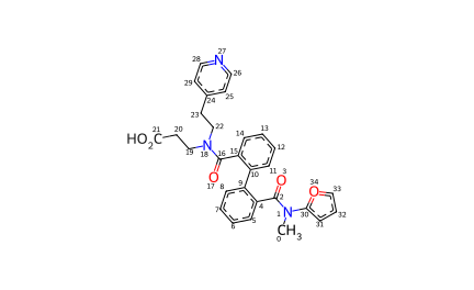 CN(C(=O)c1ccccc1-c1ccccc1C(=O)N(CCC(=O)O)CCc1ccncc1)c1ccco1